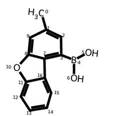 Cc1cc(B(O)O)c2c(c1)oc1ccccc12